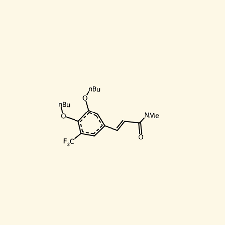 CCCCOc1cc(/C=C/C(=O)NC)cc(C(F)(F)F)c1OCCCC